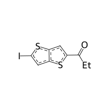 CCC(=O)c1cc2sc(I)cc2s1